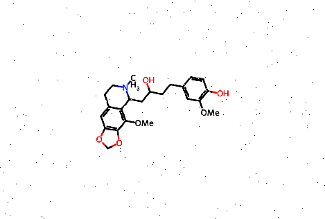 COc1cc(CCC(O)CC2c3c(cc4c(c3OC)OCO4)CCN2C)ccc1O